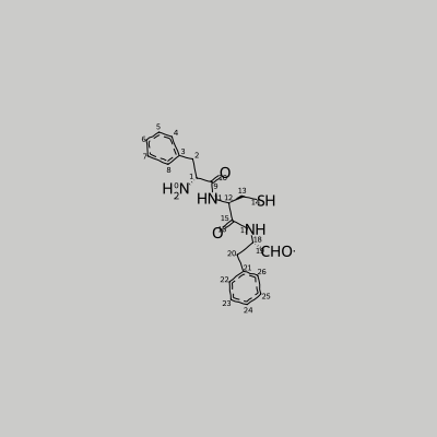 N[C@H](Cc1ccccc1)C(=O)N[C@@H](CS)C(=O)N[C@H]([C]=O)Cc1ccccc1